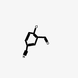 N#Cc1[c]cc(Cl)c(C=O)c1